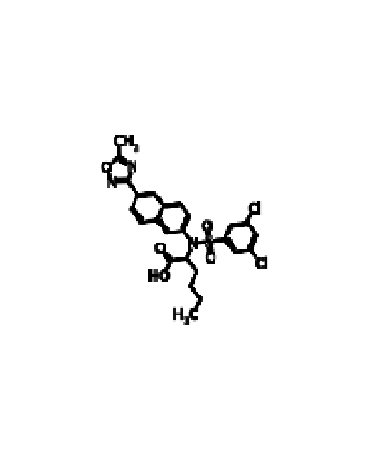 CCCCC(C(=O)O)N(c1ccc2cc(-c3noc(C)n3)ccc2c1)S(=O)(=O)c1cc(Cl)cc(Cl)c1